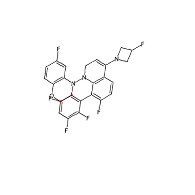 Fc1cc(F)c(F)c(-c2c(F)ccc3c2N(N2CCOc4ccc(F)cc42)CC=C3N2CC(F)C2)c1